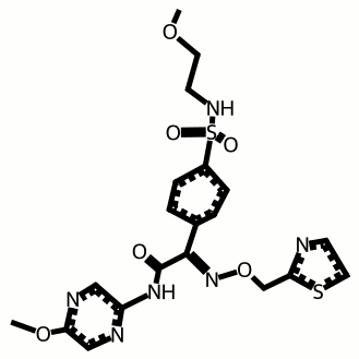 COCCNS(=O)(=O)c1ccc(/C(=N\OCc2nccs2)C(=O)Nc2cnc(OC)cn2)cc1